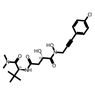 CN(C)C(=O)[C@@H](NC(=O)C[C@H](O)C(=O)N(O)CC#Cc1ccc(Cl)cc1)C(C)(C)C